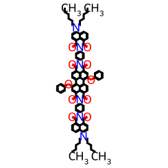 CCCCCCN(CCCCCC)c1ccc2c3c(cccc13)C(=O)N(c1ccc(N3C(=O)c4ccc5c6c(Oc7ccccc7)cc7c8c(ccc(c9c(Oc%10ccccc%10)cc(c4c59)C3=O)c86)C(=O)N(c3ccc(N4C(=O)c5cccc6c(N(CCCCCC)CCCCCC)ccc(c56)C4=O)cc3)C7=O)cc1)C2=O